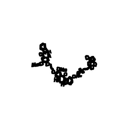 COc1cc2c(cc1OCCCOc1cc3c(cc1OC)C(=O)N1c4cc(OCN(C)OC(C)(C)CCC(=O)ON5C(=O)CCC5=O)ccc4C[C@H]1CN3)N=C[C@@H]1Cc3ccccc3N1C2=O